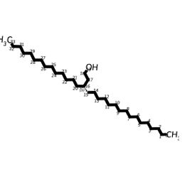 CCCCCCCCCCCCCCCC[C@@H](CCO)CCCCCCCCCCCCCC